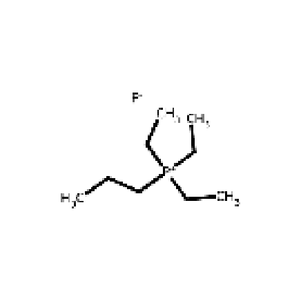 CCC[P+](CC)(CC)CC.[F-]